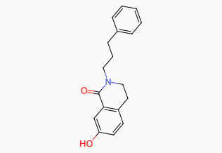 O=C1c2cc(O)ccc2CCN1CCCc1ccccc1